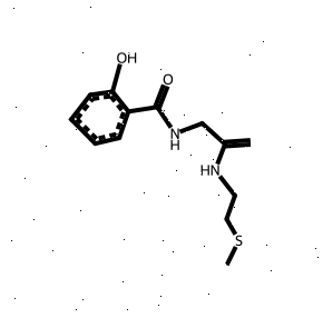 C=C(CNC(=O)c1ccccc1O)NCCSC